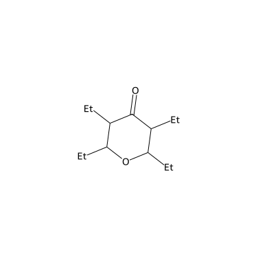 CCC1OC(CC)C(CC)C(=O)C1CC